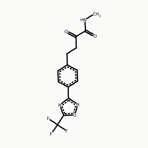 CNC(=O)C(=O)CCc1ccc(-c2noc(C(F)(F)F)n2)cc1